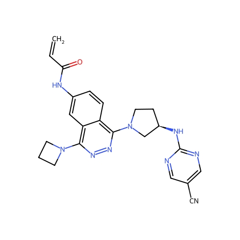 C=CC(=O)Nc1ccc2c(N3CC[C@@H](Nc4ncc(C#N)cn4)C3)nnc(N3CCC3)c2c1